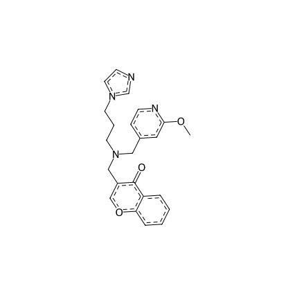 COc1cc(CN(CCCn2ccnc2)Cc2coc3ccccc3c2=O)ccn1